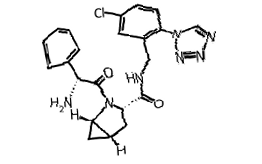 N[C@@H](C(=O)N1[C@H](C(=O)NCc2cc(Cl)ccc2-n2cnnn2)C[C@@H]2C[C@@H]21)c1ccccc1